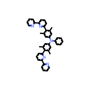 Cc1cc(N(c2ccccc2)c2cc(C)c(-c3cccc(-c4ccccn4)n3)c(C)c2)cc(C)c1-c1cccc(-c2ccccn2)n1